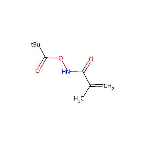 C=C(C)C(=O)NOC(=O)C(C)(C)C